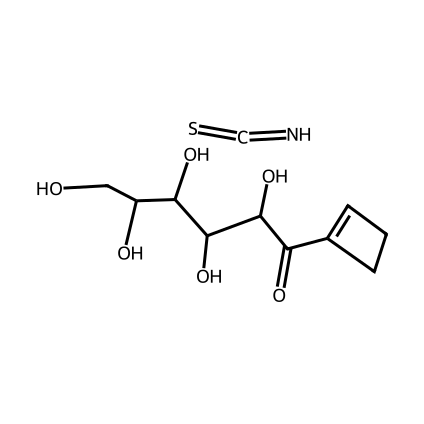 N=C=S.O=C(C1=CCC1)C(O)C(O)C(O)C(O)CO